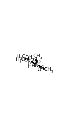 CCOC(=O)CNC(CCNC(=O)OC(C)(C)C)C(=O)OCC